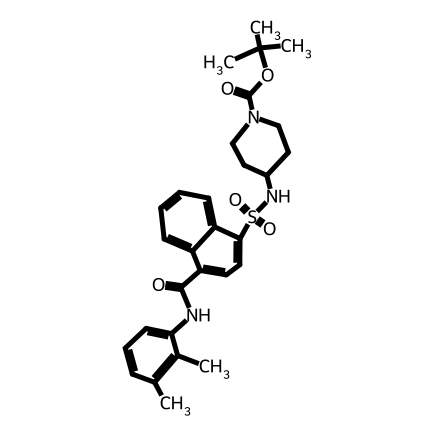 Cc1cccc(NC(=O)c2ccc(S(=O)(=O)NC3CCN(C(=O)OC(C)(C)C)CC3)c3ccccc23)c1C